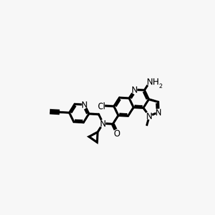 C#Cc1ccc(CN(C(=O)c2cc3c(cc2Cl)nc(N)c2cnn(C)c23)C2CC2)nc1